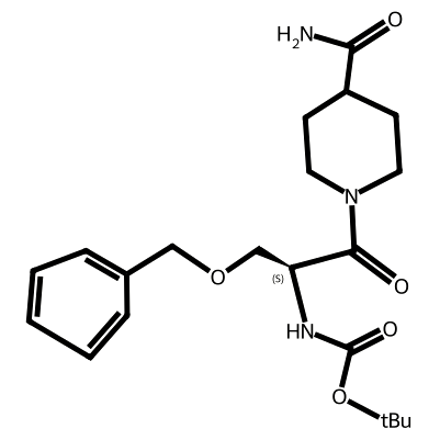 CC(C)(C)OC(=O)N[C@@H](COCc1ccccc1)C(=O)N1CCC(C(N)=O)CC1